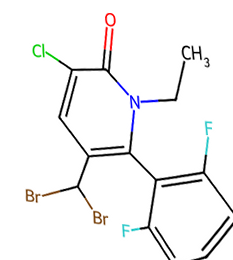 CCn1c(-c2c(F)cccc2F)c(C(Br)Br)cc(Cl)c1=O